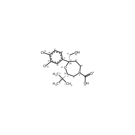 CC(C)(C)[C@H]1CN(C(=O)O)CC[C@](CO)(c2ccc(Cl)c(Cl)c2)O1